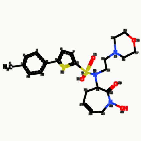 Cc1ccc(-c2ccc(S(=O)(=O)N(CCN3CCOCC3)C3CC=CCN(O)C3=O)s2)cc1